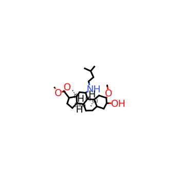 COC(=O)C1CC[C@H]2[C@@H]3CCC4CC(O)C(OC)C[C@]4(C)[C@@H]3C(NCCC(C)C)C[C@]12C